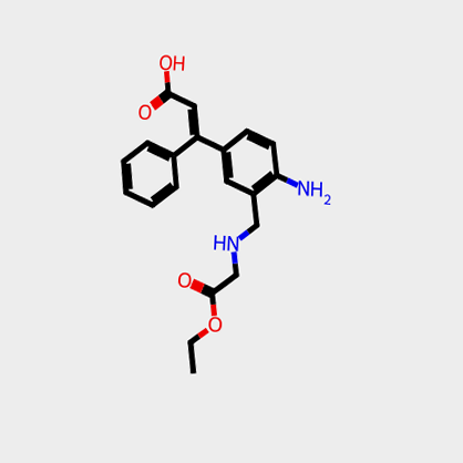 CCOC(=O)CNCc1cc(C(=CC(=O)O)c2ccccc2)ccc1N